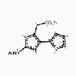 CCOC(=O)Cc1sc(NC(C)=O)nc1-c1cccs1